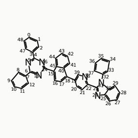 c1ccc(-c2nc(-c3ccccc3)nc(-c3ccc(-c4ccc(-c5nc6ccccc6n5-c5ccccc5)nc4)c4ccccc34)n2)cc1